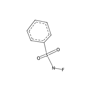 O=S(=O)([N]F)c1ccccc1